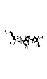 CCCCC[Si](C)(C)CNc1nc(Cl)nc2c1ncn2[C@H]1C[C@H](O)[C@@H](CO)O1